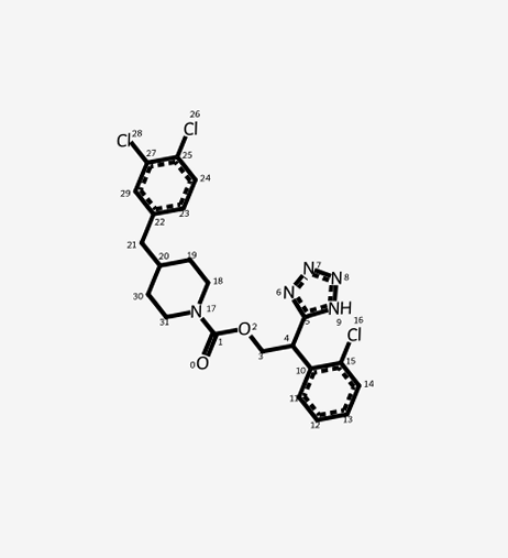 O=C(OCC(c1nnn[nH]1)c1ccccc1Cl)N1CCC(Cc2ccc(Cl)c(Cl)c2)CC1